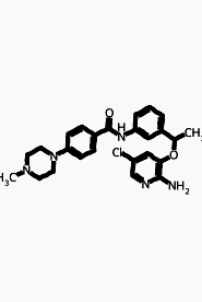 CC(Oc1cc(Cl)cnc1N)c1cccc(NC(=O)c2ccc(N3CCN(C)CC3)cc2)c1